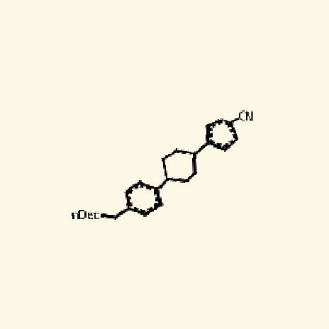 CCCCCCCCCCCc1ccc(C2CCC(c3ccc(C#N)cc3)CC2)cc1